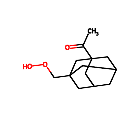 CC(=O)C12CC3CC(CC(COO)(C3)C1)C2